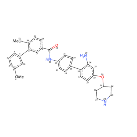 COc1cccc(-c2cc(C(=O)Nc3ccc(-c4ccc(OC5CCNCC5)cc4N)cc3)ccc2OC)c1